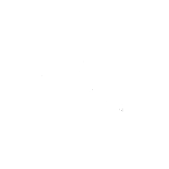 CC(CC1CC1)OC(=O)c1cc[nH]c1